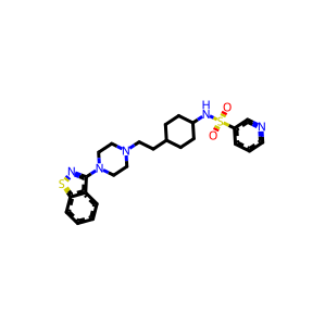 O=S(=O)(NC1CCC(CCN2CCN(c3nsc4ccccc34)CC2)CC1)c1cccnc1